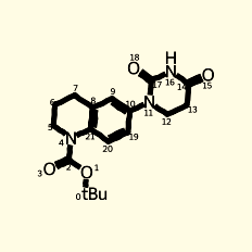 CC(C)(C)OC(=O)N1CCCc2cc(N3CCC(=O)NC3=O)ccc21